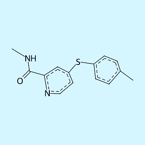 CNC(=O)c1cc(Sc2ccc(C)cc2)ccn1